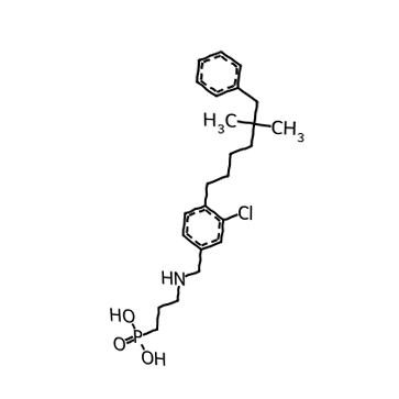 CC(C)(CCCCc1ccc(CNCCCP(=O)(O)O)cc1Cl)Cc1ccccc1